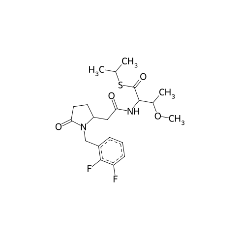 COC(C)C(NC(=O)CC1CCC(=O)N1Cc1cccc(F)c1F)C(=O)SC(C)C